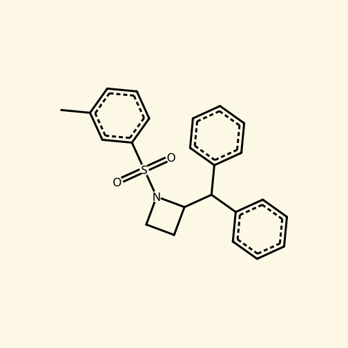 Cc1cccc(S(=O)(=O)N2CCC2C(c2ccccc2)c2ccccc2)c1